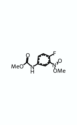 COC(=O)Nc1ccc(F)c([N+](=O)OC)c1